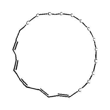 [C]1=C/C=C/C=C\C=C\C=C\CCCCCCCCCCCCCC/1